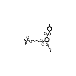 C=C(F)C(=O)OCCCCOC(=O)c1cc(C(=O)Oc2ccc(C)cc2)ccc1OCCCC